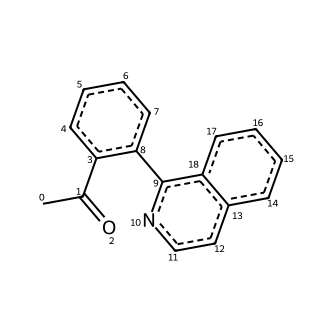 CC(=O)c1ccccc1-c1nccc2ccccc12